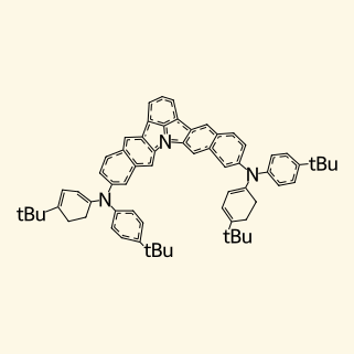 CC(C)(C)C1=CC=C(N(c2ccc(C(C)(C)C)cc2)c2ccc3cc4c5cccc6c7cc8ccc(N(C9=CC=C(C(C)(C)C)CC9)c9ccc(C(C)(C)C)cc9)cc8cc7n(c4cc3c2)c56)CC1